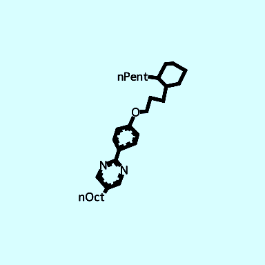 CCCCCCCCc1cnc(-c2ccc(OCCCC3CCCCC3CCCCC)cc2)nc1